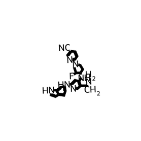 C=C(N)c1cnc(Nc2ccc3cc[nH]c3c2)cc1NC1CCN(c2ccc(C#N)cn2)CC1F